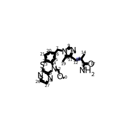 COCN1c2cc(Cn3cnc(/C=C(\C)C(N)=O)c3C)ccc2Sc2nccnc21